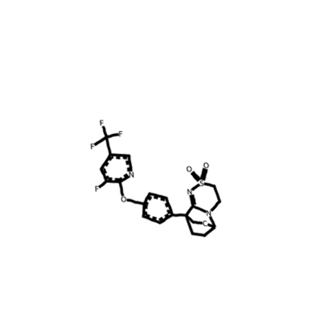 O=S1(=O)CCN2C(=N1)C1(c3ccc(Oc4ncc(C(F)(F)F)cc4F)cc3)CCC2CC1